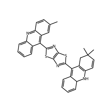 Cc1ccc2nc3ccccc3c(-c3nc4sc(C5=C6C=CC=CC6NC6=C5CC(C)(C)C=C6)nc4s3)c2c1